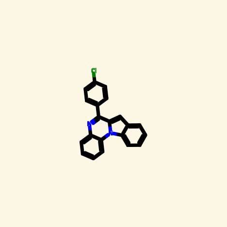 Clc1ccc(-c2nc3ccccc3n3c2cc2ccccc23)cc1